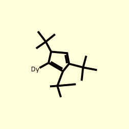 CC(C)(C)C1=CC(C(C)(C)C)[C]([Dy])=C1C(C)(C)C